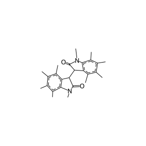 Cc1c(C)c(C)c2c(c1C)C(C1C(=O)N(C)c3c(C)c(C)c(C)c(C)c31)C(=O)N2C